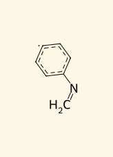 C=Nc1cc[c]cc1